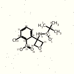 CC(C)(C)[S+]([O-])NC1(c2cccc(Cl)c2[N+](=O)[O-])COC1